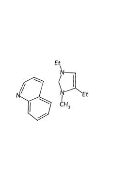 CCC1=CN(CC)CN1C.c1ccc2ncccc2c1